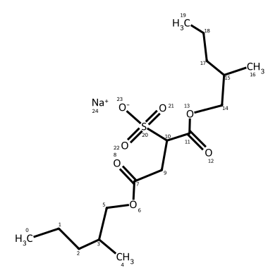 CCCC(C)COC(=O)CC(C(=O)OCC(C)CCC)S(=O)(=O)[O-].[Na+]